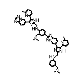 Cc1cccc(-c2[nH]c(CNc3cccc(CN(C)C)c3)nc2-c2ccc3nc(-c4ccc(NCc5nc(-c6ccc7ncnn7c6)c(-c6cccc(C)n6)[nH]5)c(CN(C)C)c4)nn3c2)n1